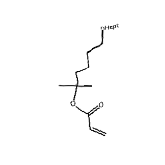 C=CC(=O)OC(C)(C)CCCCCCCCCCC